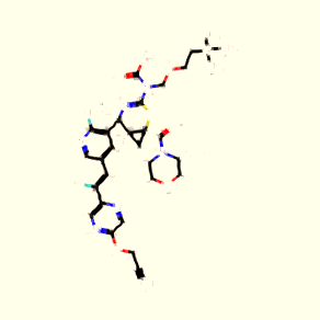 C#CCOc1cnc(/C(F)=C/c2cnc(F)c([C@@]3(C)N=C(N(COCC[Si](C)(C)C)C(=O)O)S[C@@]4(C(=O)N5CCOC[C@H]5C)C[C@H]43)c2)cn1